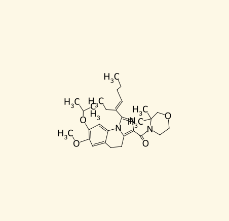 CCC/C=C(\CC)c1nc(C(=O)N2CCOCC2(C)C)c2n1-c1cc(OC(C)C)c(OC)cc1CC2